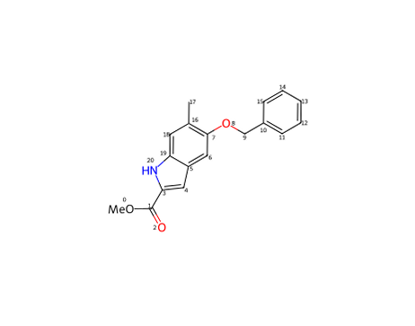 COC(=O)c1cc2cc(OCc3ccccc3)c(C)cc2[nH]1